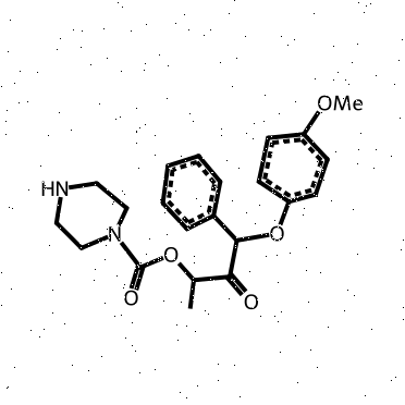 COc1ccc(OC(C(=O)C(C)OC(=O)N2CCNCC2)c2ccccc2)cc1